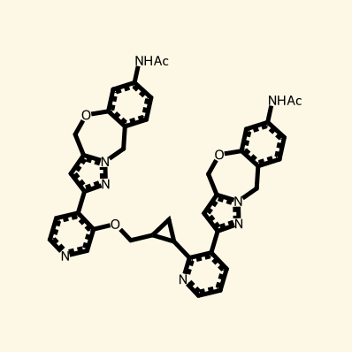 CC(=O)Nc1ccc2c(c1)OCc1cc(-c3ccncc3OCC3CC3c3ncccc3-c3cc4n(n3)Cc3ccc(NC(C)=O)cc3OC4)nn1C2